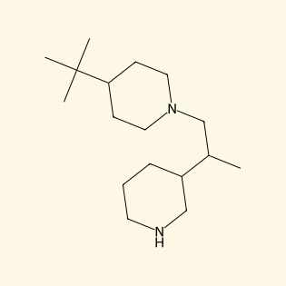 CC(CN1CCC(C(C)(C)C)CC1)C1CCCNC1